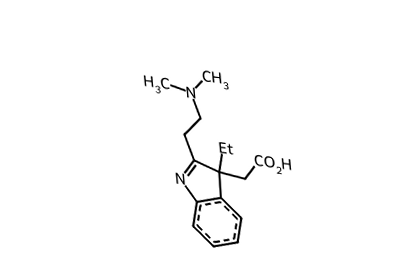 CCC1(CC(=O)O)C(CCN(C)C)=Nc2ccccc21